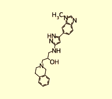 Cn1cnc2ccc(-c3cc(NCC(O)CN4CCc5ccccc5C4)n[nH]3)cc21